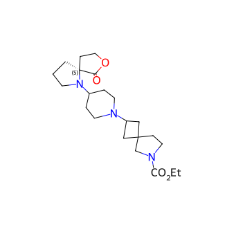 CCOC(=O)N1CCC2(CC(N3CCC(N4CCC[C@@]45CCOC5=O)CC3)C2)C1